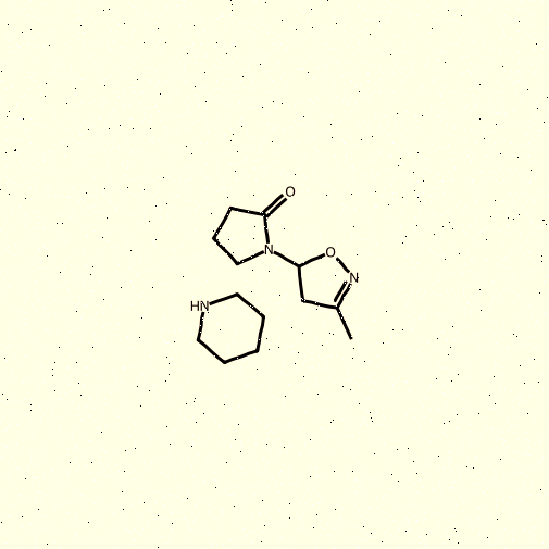 C1CCNCC1.CC1=NOC(N2CCCC2=O)C1